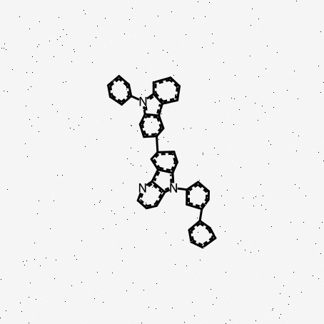 c1ccc(-c2cccc(-n3c4ccc(-c5ccc6c(c5)c5ccccc5n6-c5ccccc5)cc4c4ncccc43)c2)cc1